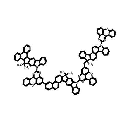 CC1(C)c2cc3c(cc2-c2c1ccc1c2ccc2ccc(-c4cc5c6c(nc(-n7c8ccccc8c8cc9c(cc87)C(C)(C)c7c-9c8ccccc8c8ccccc78)nc6c4)-c4ccccc4O5)cc21)c1ccccc1n3-c1nc2c3c(cc(CC4(C)c5ccccc5-c5c4ccc4c5ccc5c4c4ccccc4n5-c4nc5c6c(cccc6n4)Oc4ccccc4-5)cc3n1)Oc1ccccc1-2